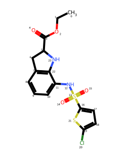 CCOC(=O)C1Cc2cccc(NS(=O)(=O)c3ccc(Cl)s3)c2N1